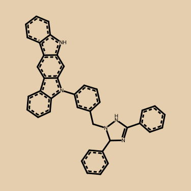 c1ccc(C2=NC(c3ccccc3)N(Cc3cccc(-n4c5ccccc5c5cc6c(cc54)[nH]c4ccccc46)c3)N2)cc1